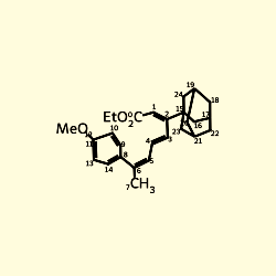 CCOC(=O)C=C(C=CC=C(C)c1ccc(OC)cc1)C12CC3CC(CC(C3)C1)C2